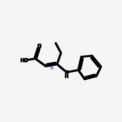 CC/C(=C\C(=O)O)Nc1ccccc1